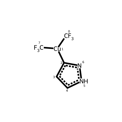 F[C](F)(F)[Cu]([c]1cc[nH]n1)[C](F)(F)F